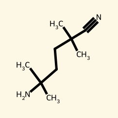 CC(C)(N)CCC(C)(C)C#N